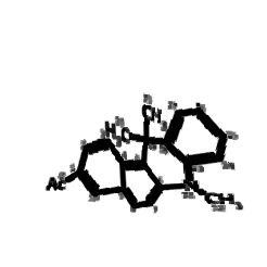 CC(=O)c1ccc2c3c(ccc2c1)N(C)c1ccccc1C3(C)C